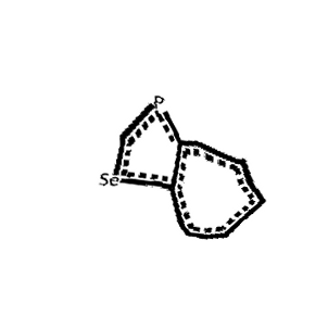 c1ccc2[se]cpc2c1